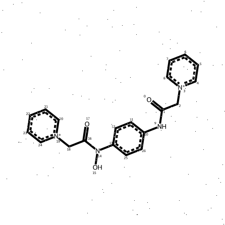 O=C(C[n+]1ccccc1)Nc1ccc(N(O)C(=O)C[n+]2ccccc2)cc1